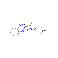 CC1CCC(NC(=O)c2cnc3c(n2)CCCCC3)CC1